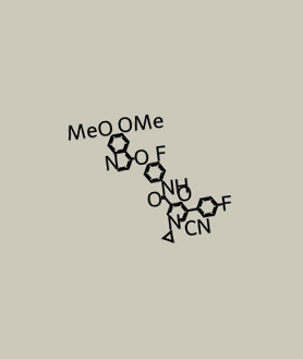 COc1cc2nccc(Oc3ccc(NC(=O)c4cn(C5CC5)c(C#N)c(-c5ccc(F)cc5)c4=O)cc3F)c2cc1OC